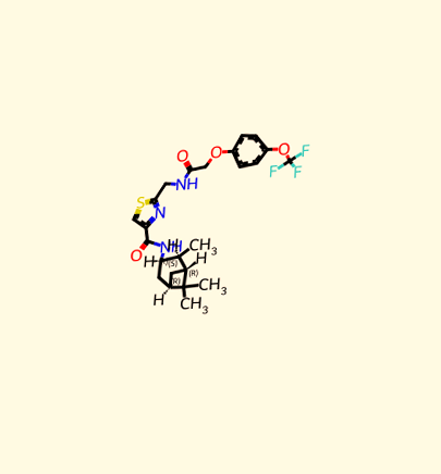 C[C@H]1[C@H]2C[C@H](C[C@H]1NC(=O)c1csc(CNC(=O)COc3ccc(OC(F)(F)F)cc3)n1)C2(C)C